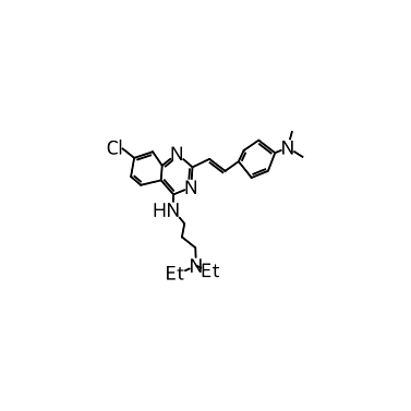 CCN(CC)CCCNc1nc(C=Cc2ccc(N(C)C)cc2)nc2cc(Cl)ccc12